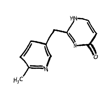 Cc1ccc(Cc2nc(=O)cc[nH]2)cn1